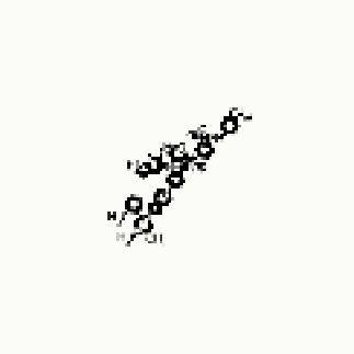 Cc1ccccc1[C@@H]1CN(C)[C@@H](C)CN1C1CC2(CCN(c3ccc(C(=O)NS(=O)(=O)c4ccc(NCC5CCC(C)(O)CC5)c([N+](=O)[O-])c4)c(N4c5cc6cc[nH]c6nc5O[C@H]5COCC[C@@H]54)c3)CC2)C1